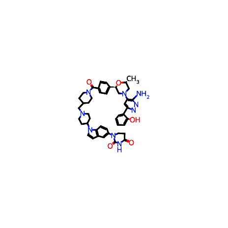 C[C@H]1CN(c2cc(-c3ccccc3O)nnc2N)C[C@@H](c2ccc(C(=O)N3CCC(CN4CCC(n5ccc6cc(N7CCC(=O)NC7=O)ccc65)CC4)CC3)cc2)O1